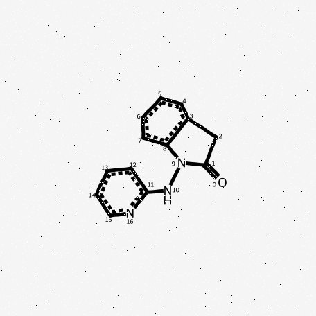 O=C1Cc2ccccc2N1Nc1ccccn1